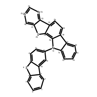 c1ccc2c(c1)sc1ccc(-n3c4ccccc4c4ccc5c6ncncc6sc5c43)cc12